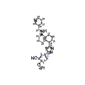 C/C=C(\C=C(\C#N)C(C)OC(C)C)c1nnc(-c2cccc3c2CCC[C@H]3NCc2cccnc2)s1